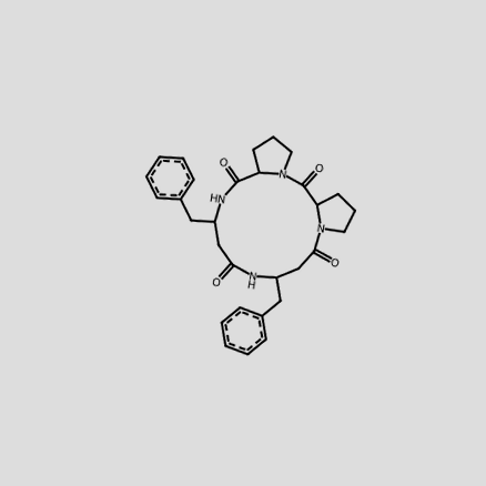 O=C1CC(Cc2ccccc2)NC(=O)C2CCCN2C(=O)C2CCCN2C(=O)CC(Cc2ccccc2)N1